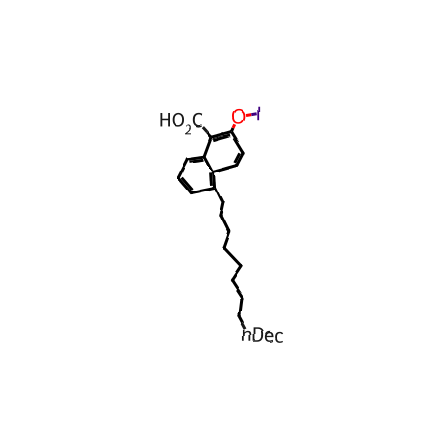 CCCCCCCCCCCCCCCCCCc1cccc2c(C(=O)O)c(OI)ccc12